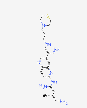 CC(C)C(=C/N)/C=C(\N)Nc1ccc2ncc(/C(C=N)=C/NCCCN3CCSCC3)cc2n1